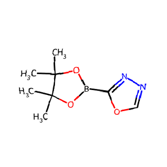 CC1(C)OB(c2nnco2)OC1(C)C